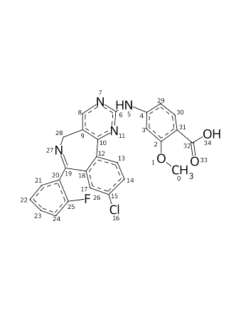 COc1cc(Nc2ncc3c(n2)-c2ccc(Cl)cc2C(c2ccccc2F)=NC3)ccc1C(=O)O